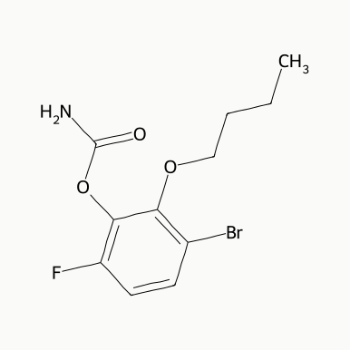 CCCCOc1c(Br)ccc(F)c1OC(N)=O